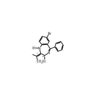 CCOC(=O)/C(C)=C1\[C@H](C)N=C(c2ccccc2)c2cc(Br)ccc2N1CC